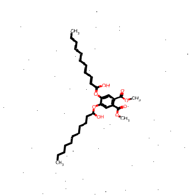 CCCCCCCCCCC(O)Oc1cc(C(=O)OC)c(C(=O)OC)cc1OC(O)CCCCCCCCCC